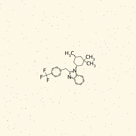 C[C@@H]1C[C@H](n2c(Cc3ccc(C(F)(F)F)cc3)nc3ccccc32)CC(C)(C)C1